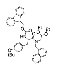 CCOC(CN(Cc1cccc2ccccc12)C(=O)C(Cc1ccc(OC(C)(C)C)cc1)NC(=O)OCC1c2ccccc2-c2ccccc21)OCC